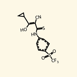 N#CC(C(=S)Nc1ccc(S(=O)(=O)C(F)(F)F)cc1)=C(O)C1CC1